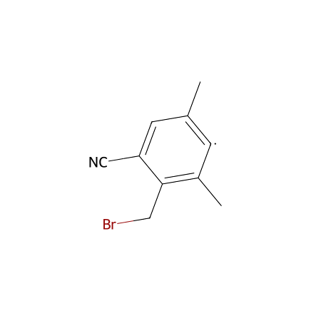 Cc1[c]c(C)c(CBr)c(C#N)c1